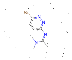 CC(=Nc1ccc(Br)nn1)N(C)C